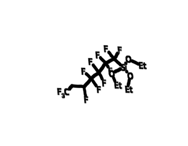 CCO[Si](OCC)(OCC)C(F)(F)C(F)(F)C(F)(F)C(F)(F)C(F)CC(F)(F)F